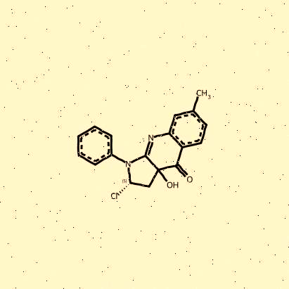 Cc1ccc2c(c1)N=C1N(c3ccccc3)[C@@H](Cl)CC1(O)C2=O